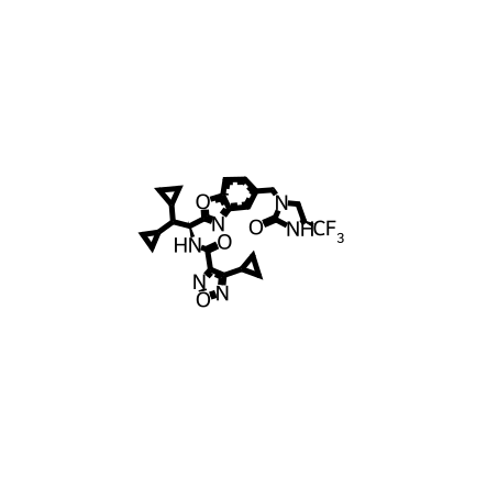 O=C(N[C@H](c1nc2cc(CN3C[C@@H](C(F)(F)F)NC3=O)ccc2o1)C(C1CC1)C1CC1)c1nonc1C1CC1